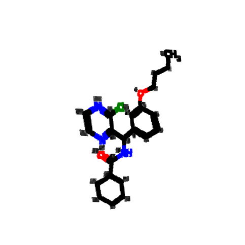 CCCCOc1cccc(C(NC(=O)C2CCCCC2)c2nccnc2Cl)c1